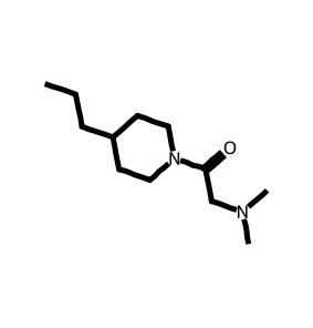 CCCC1CCN(C(=O)CN(C)C)CC1